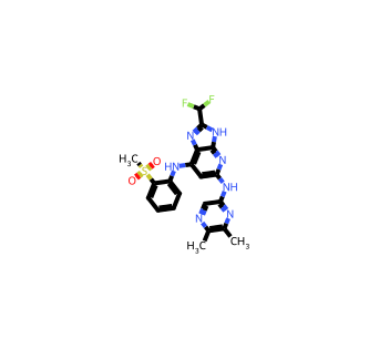 Cc1ncc(Nc2cc(Nc3ccccc3S(C)(=O)=O)c3nc(C(F)F)[nH]c3n2)nc1C